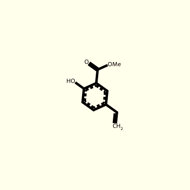 C=Cc1ccc(O)c(C(=O)OC)c1